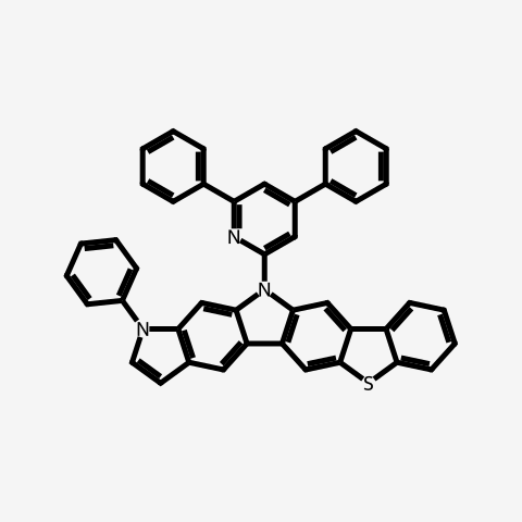 c1ccc(-c2cc(-c3ccccc3)nc(-n3c4cc5c(cc4c4cc6ccn(-c7ccccc7)c6cc43)sc3ccccc35)c2)cc1